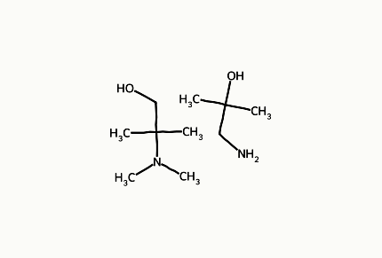 CC(C)(O)CN.CN(C)C(C)(C)CO